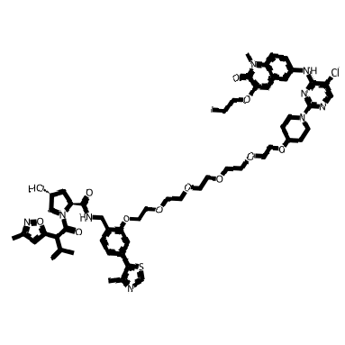 Cc1cc(C(C(=O)N2C[C@H](O)C[C@H]2C(=O)NCc2ccc(-c3scnc3C)cc2OCCOCCOCCOCCOCCOC2CCN(c3ncc(Cl)c(Nc4ccc5c(c4)cc(OCCI)c(=O)n5C)n3)CC2)C(C)C)on1